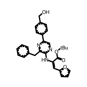 CC(C)(C)OC(=O)C(=Cc1ccco1)Nc1ncc(-c2ccc(CO)cc2)nc1Cc1ccccc1